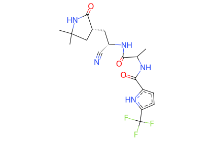 CC(NC(=O)c1ccc(C(F)(F)F)[nH]1)C(=O)N[C@H](C#N)C[C@@H]1CC(C)(C)NC1=O